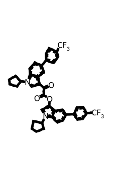 O=C(Oc1cn(C2CCCC2)c2ccc(-c3ccc(C(F)(F)F)cc3)cc12)C(=O)c1cn(C2CCCC2)c2ccc(-c3ccc(C(F)(F)F)cc3)cc12